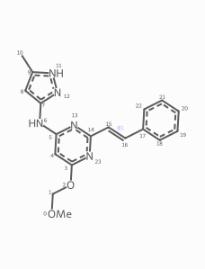 COCOc1cc(Nc2cc(C)[nH]n2)nc(/C=C/c2ccccc2)n1